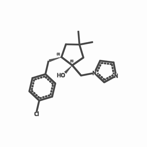 CC1(C)C[C@@H](Cc2ccc(Cl)cc2)[C@](O)(Cn2ccnc2)C1